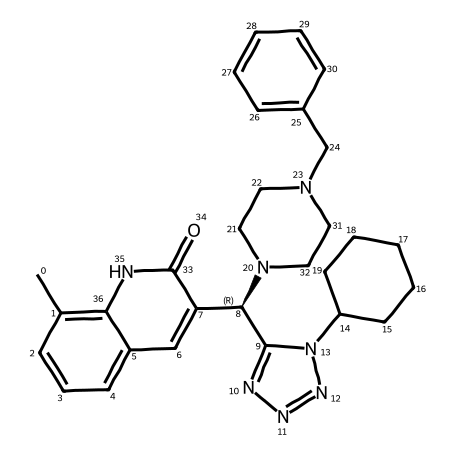 Cc1cccc2cc([C@H](c3nnnn3C3CCCCC3)N3CCN(Cc4ccccc4)CC3)c(=O)[nH]c12